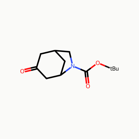 CC(C)(C)OC(=O)N1CC2CC(=O)CC1C2